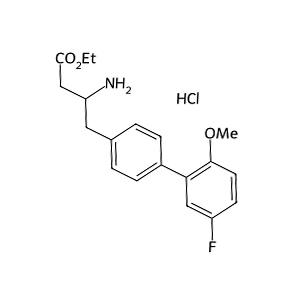 CCOC(=O)CC(N)Cc1ccc(-c2cc(F)ccc2OC)cc1.Cl